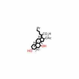 CC(=O)O[C@H]1C[C@@]2(C)[C@@H](CC[C@H]3[C@@]4(C)CC[C@@H](O)[C@@H](C)[C@@H]4[C@@H](C)[C@H](O)[C@@]32C)/C1=C(\CCCC(C)C)C(=O)O